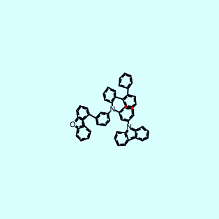 c1ccc(-c2ccccc2-c2ccccc2N(c2cccc(-c3cccc4oc5ccccc5c34)c2)c2cccc(-n3c4ccccc4c4ccccc43)c2)cc1